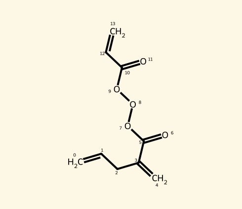 C=CCC(=C)C(=O)OOOC(=O)C=C